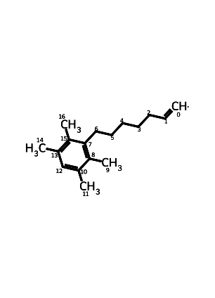 [CH]=CCCCCCc1c(C)c(C)cc(C)c1C